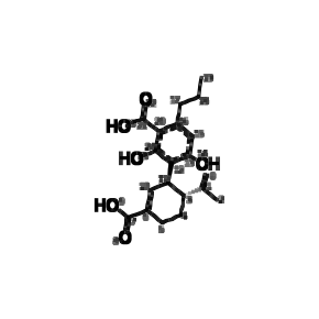 C=C(C)[C@@H]1CCC(C(=O)O)=C[C@H]1c1c(O)cc(CCC)c(C(=O)O)c1O